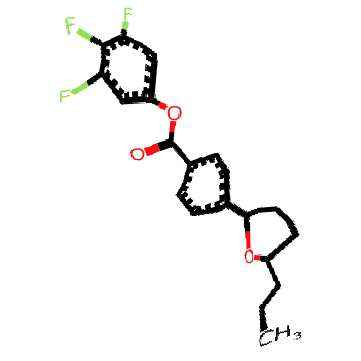 CCCC1CCC(c2ccc(C(=O)Oc3cc(F)c(F)c(F)c3)cc2)O1